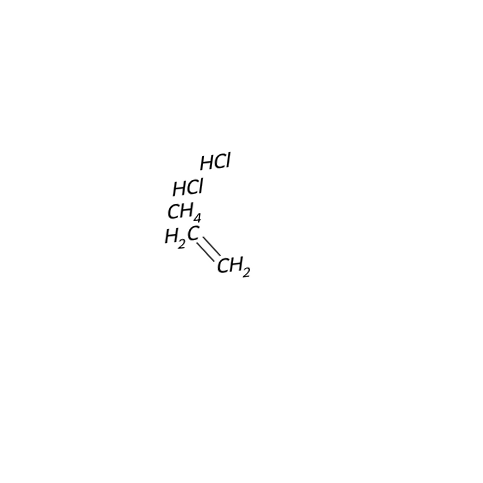 C.C=C.Cl.Cl